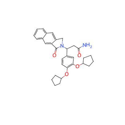 NC(=O)CC(c1ccc(OC2CCCC2)c(OC2CCCC2)c1)N1Cc2cc3ccccc3cc2C1=O